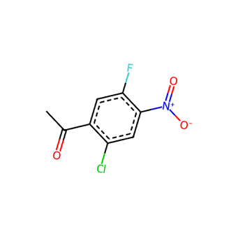 CC(=O)c1cc(F)c([N+](=O)[O-])cc1Cl